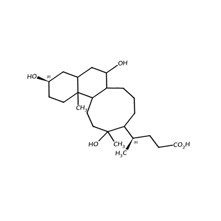 C[C@H](CCC(=O)O)C1CCCC2C(O)CC3C[C@H](O)CCC3(C)C2CCC1(C)O